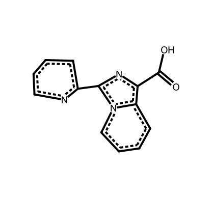 O=C(O)c1nc(-c2ccccn2)n2ccccc12